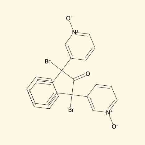 O=C(C(Br)(c1ccccc1)c1ccc[n+]([O-])c1)C(Br)(c1ccccc1)c1ccc[n+]([O-])c1